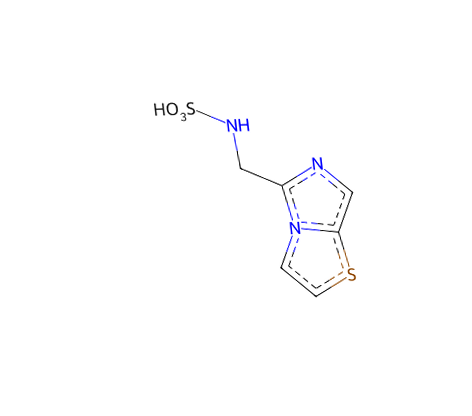 O=S(=O)(O)NCc1ncc2sccn12